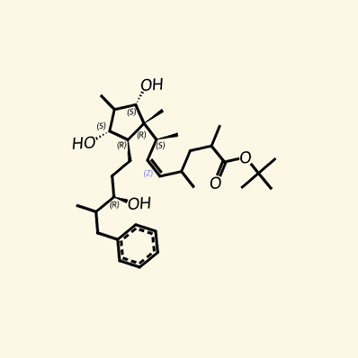 CC(/C=C\[C@H](C)[C@@]1(C)[C@@H](O)C(C)[C@@H](O)[C@@H]1CC[C@@H](O)C(C)Cc1ccccc1)CC(C)C(=O)OC(C)(C)C